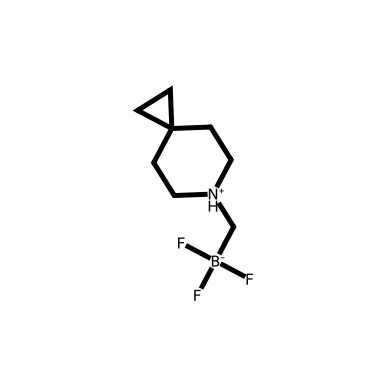 F[B-](F)(F)C[NH+]1CCC2(CC1)CC2